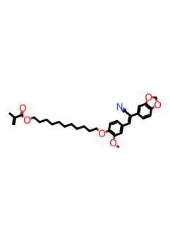 C=C(C)C(=O)OCCCCCCCCCCCOc1ccc(/C=C(\C#N)c2ccc3c(c2)OCO3)cc1OC